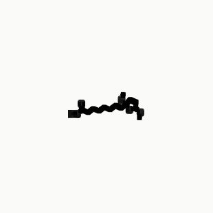 COC1C=CC(C=CCCCCCC(=O)O)(OC)O1